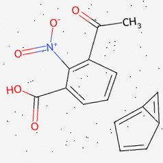 CC(=O)c1cccc(C(=O)O)c1[N+](=O)[O-].c1cc2cc-2c1